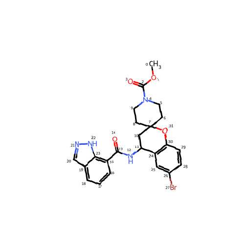 COC(=O)N1CCC2(CC1)CC(NC(=O)c1cccc3cn[nH]c13)c1cc(Br)ccc1O2